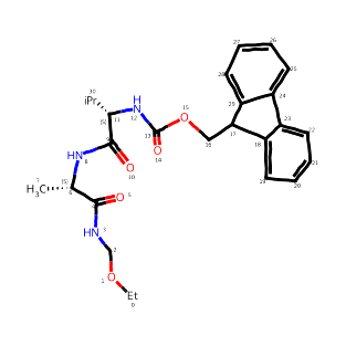 CCOCNC(=O)[C@H](C)NC(=O)[C@@H](NC(=O)OCC1c2ccccc2-c2ccccc21)C(C)C